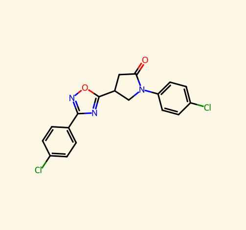 O=C1CC(c2nc(-c3ccc(Cl)cc3)no2)CN1c1ccc(Cl)cc1